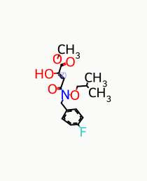 COC(=O)/C(O)=C/C(=O)N(Cc1ccc(F)cc1)OCC(C)C